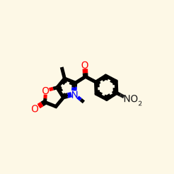 Cc1c2c(n(C)c1C(=O)c1ccc([N+](=O)[O-])cc1)CC(=O)O2